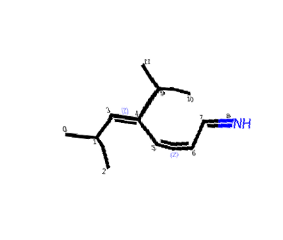 CC(C)/C=C(\C=C/C=N)C(C)C